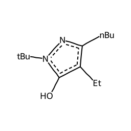 CCCCc1nn(C(C)(C)C)c(O)c1CC